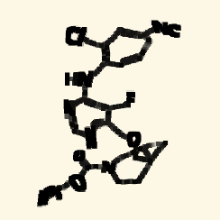 [C-]#[N+]c1ccc(Nc2ncnc(OCC34CCN(C(=O)OC(C)C)CC3C4)c2F)c(Cl)c1